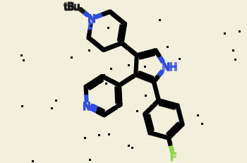 CC(C)(C)N1CC=C(c2c[nH]c(-c3ccc(F)cc3)c2-c2ccncc2)CC1